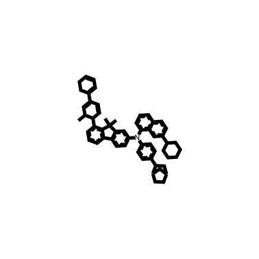 CC1C=C(C2=CC=CCC2)C=CC1c1cccc2c1C(C)(C)c1cc(N(c3ccc(C4CC5CCC4C5)cc3)c3cccc4ccc(C5CCCCC5)cc34)ccc1-2